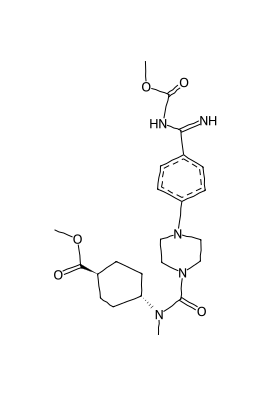 COC(=O)NC(=N)c1ccc(N2CCN(C(=O)N(C)[C@H]3CC[C@H](C(=O)OC)CC3)CC2)cc1